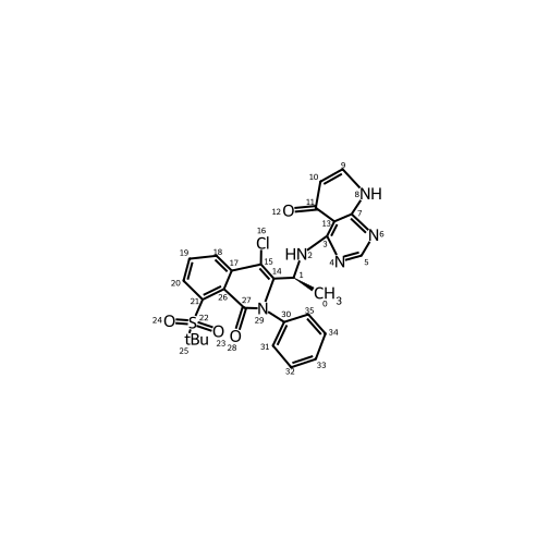 C[C@H](Nc1ncnc2[nH]ccc(=O)c12)c1c(Cl)c2cccc(S(=O)(=O)C(C)(C)C)c2c(=O)n1-c1ccccc1